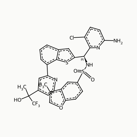 Cc1coc2ccc(S(=O)(=O)N[C@@H](c3cc4cccc(-c5cc(C(C)(O)C(F)(F)F)ccn5)c4s3)c3nc(N)ccc3Cl)cc12